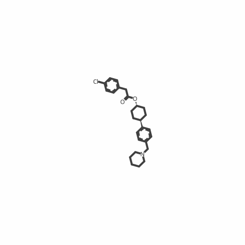 O=C(Cc1ccc(Cl)cc1)O[C@H]1CC[C@H](c2ccc(CN3CCCCC3)cc2)CC1